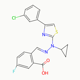 O=C(O)c1cc(F)ccc1C=NN(c1nc(-c2cccc(Cl)c2)cs1)C1CC1